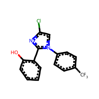 Oc1ccccc1-c1nc(Cl)cn1-c1ccc(C(F)(F)F)cc1